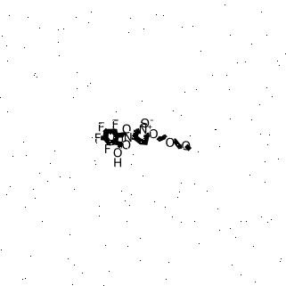 COCCOCCOc1ccc(NC(=O)c2c(F)c(F)c(F)c(F)c2C(=O)O)c[n+]1[O-]